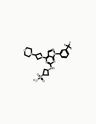 CS(=O)(=O)[C@H]1C[C@@H](Nc2nc(N3CC(N4CCOCC4)C3)c3cnn(-c4cccc(C(F)(F)F)c4)c3n2)C1